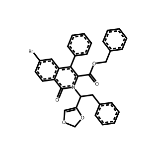 O=C(OCc1ccccc1)c1c(-c2ccccc2)c2cc(Br)ccc2c(=O)n1C(Cc1ccccc1)C1=COCO1